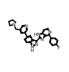 Fc1ccc(-c2nccc3[nH]c(-c4n[nH]c5ccc(-c6cncc(CN7CCCC7)c6)cc45)nc23)cc1